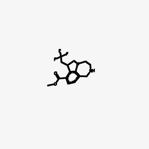 COC(=O)c1ccc2c3c1C(CC(F)(F)F)CN3CCNC2